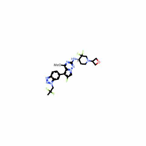 COc1nc(N[C@@H]2CCN(C3COC3)CC2(F)F)nn2cc(F)c(-c3ccc4nnn(CC(C)(F)F)c4c3)c12